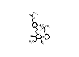 CCc1c(C#N)c(SCc2ccc(CNC(C)=O)cc2)nc(N2CCCC[C@H]2COC(C)(C)C)c1C#N